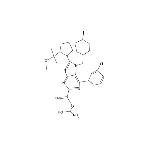 COC(C)(C)C1CCCN1c1nc2nc(C(=N)OC(N)O)nc(-c3cccc(Cl)c3)c2n1C[C@H]1CC[C@H](C)CC1